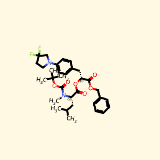 CC(C)C[C@@H](C(=O)O[C@H](Cc1ccc(N2CCC(F)(F)C2)cc1)C(=O)OCc1ccccc1)N(C)C(=O)OC(C)(C)C